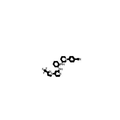 N#Cc1ccc(N2CCC[C@H](N[C@@H]3CCCC[C@H]3Nc3cc(-n4ccc(C(F)(F)F)n4)ccn3)C2)cc1